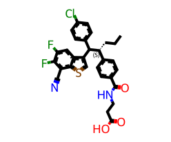 CCC[C@H](c1ccc(C(=O)NCCC(=O)O)cc1)C(c1ccc(Cl)cc1)c1csc2c(C#N)c(F)c(F)cc12